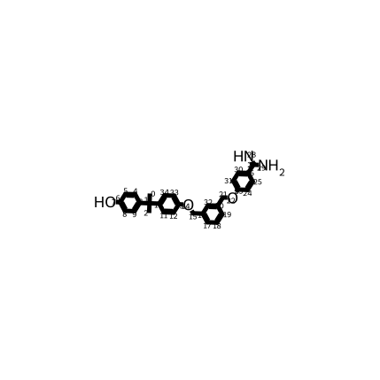 CC(C)(c1ccc(O)cc1)c1ccc(OCc2cccc(COc3ccc(C(=N)N)cc3)c2)cc1